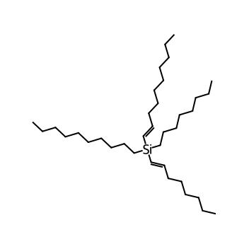 CCCCCCC=C[Si](C=CCCCCCCCC)(CCCCCCCC)CCCCCCCCCC